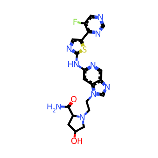 NC(=O)C1CC(O)CN1CCn1cnc2cnc(Nc3ncc(-c4ncncc4F)s3)cc21